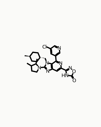 CC1CCN(c2nc3cc(-c4noc(=O)[nH]4)nc(-c4cncc(Cl)c4)c3n2C[C@H]2CC[C@H](C)CC2)C1C